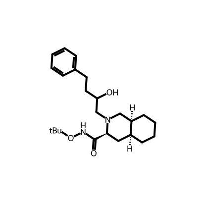 CC(C)(C)ONC(=O)[C@@H]1C[C@@H]2CCCC[C@@H]2CN1CC(O)CCc1ccccc1